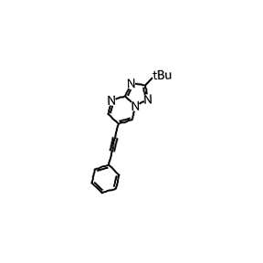 CC(C)(C)c1nc2ncc(C#Cc3ccccc3)cn2n1